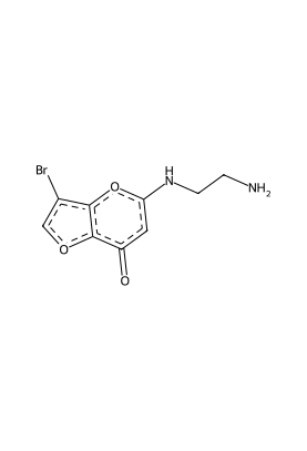 NCCNc1cc(=O)c2occ(Br)c2o1